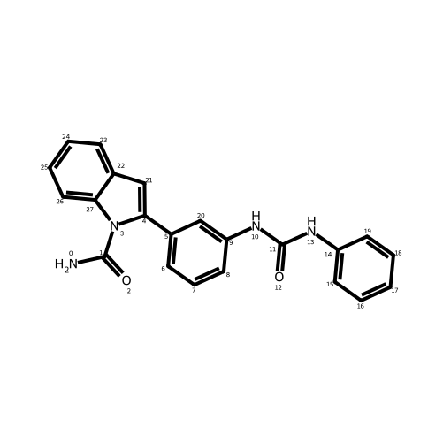 NC(=O)n1c(-c2cccc(NC(=O)Nc3ccccc3)c2)cc2ccccc21